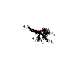 C=C(C)C(=O)OCCCc1cc(-c2ccc(C3CCC(CCCCC)CC3)cc2F)cc(CCCOC(=O)C(C)(C)C)c1OCC(COC(=O)C(=O)CCOC)COC(=O)C(=O)CCOC